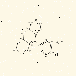 Clc1ccc(-c2c3ccccc3cc3ccccc23)cc1Cl